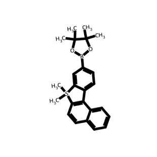 CC1(C)OB(c2ccc3c(c2)S(C)(C)c2ccc4ccccc4c2-3)OC1(C)C